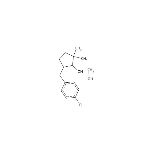 CC1(C)CCC(Cc2ccc(Cl)cc2)C1O.CO